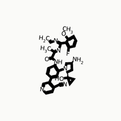 C=C/N=C(\N=C(/C)C(=O)Nc1ccc(-c2cnccc2C#N)cc1N1C[C@@H](N)C[C@H]1C1(O)CC1)c1c(F)cccc1OC